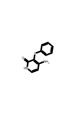 Nc1cc[nH]c(=O)c1Sc1ccccc1